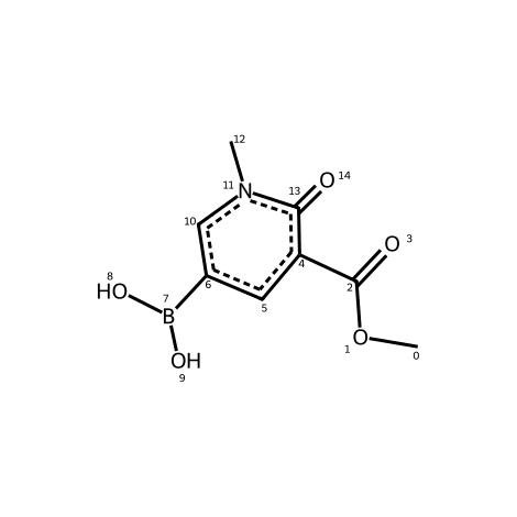 COC(=O)c1cc(B(O)O)cn(C)c1=O